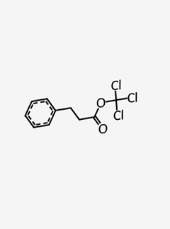 O=C(CCc1ccccc1)OC(Cl)(Cl)Cl